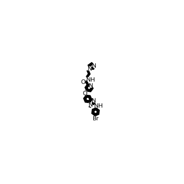 Cn1c(Nc2ccc(Br)cc2)nc2cc(Oc3ccnc(C(=O)NCCCn4ccnc4)c3)ccc21